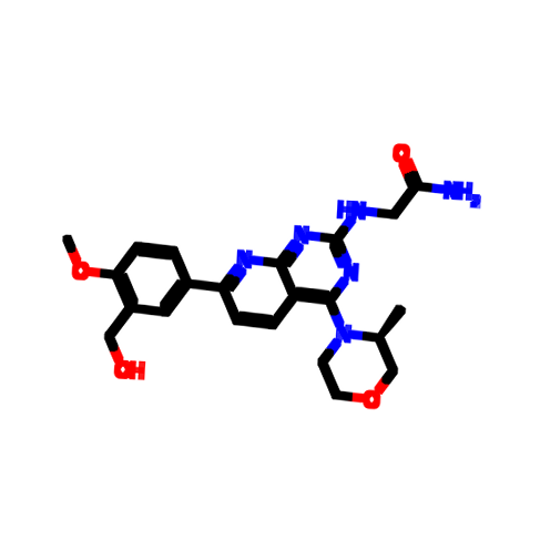 COc1ccc(-c2ccc3c(N4CCOC[C@@H]4C)nc(NCC(N)=O)nc3n2)cc1CO